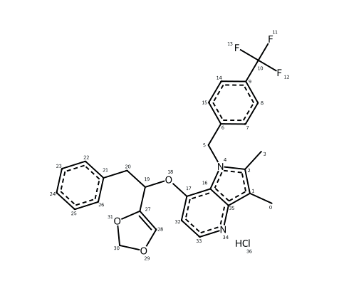 Cc1c(C)n(Cc2ccc(C(F)(F)F)cc2)c2c(OC(Cc3ccccc3)C3=COCO3)ccnc12.Cl